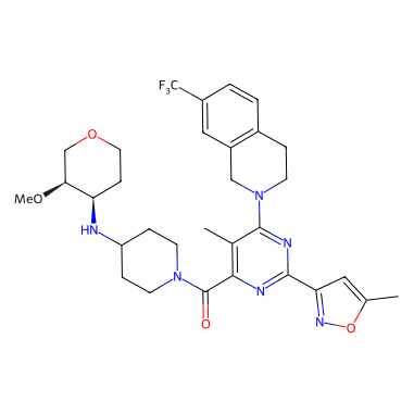 CO[C@H]1COCC[C@H]1NC1CCN(C(=O)c2nc(-c3cc(C)on3)nc(N3CCc4ccc(C(F)(F)F)cc4C3)c2C)CC1